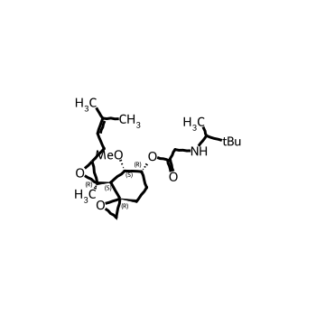 CO[C@@H]1[C@H](OC(=O)CNC(C)C(C)(C)C)CC[C@]2(CO2)[C@H]1[C@@]1(C)OC1CC=C(C)C